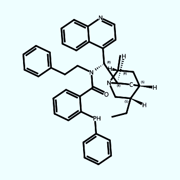 CC[C@@H]1CN2[C@H](C)C[C@H]1C[C@@H]2[C@@H](c1ccnc2ccccc12)N(CCc1ccccc1)C(=O)c1ccccc1Pc1ccccc1